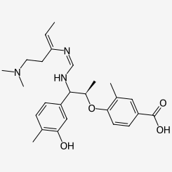 C/C=C(CCN(C)C)\N=C/NC(c1ccc(C)c(O)c1)[C@@H](C)Oc1ccc(C(=O)O)cc1C